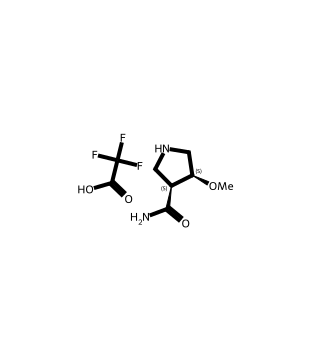 CO[C@@H]1CNC[C@@H]1C(N)=O.O=C(O)C(F)(F)F